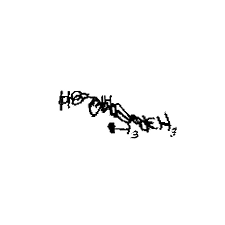 CC(C)(F)CN1CCC(COc2ccc(-c3ccc(C(=O)NCCc4ccc(O)c(O)c4)cc3)cc2)CC1